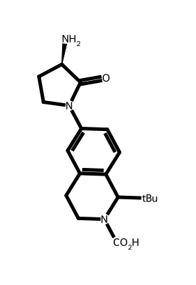 CC(C)(C)C1c2ccc(N3CC[C@@H](N)C3=O)cc2CCN1C(=O)O